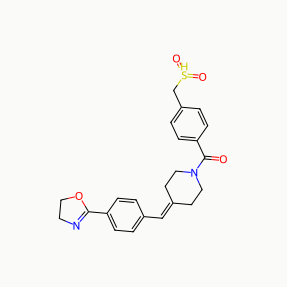 O=C(c1ccc(C[SH](=O)=O)cc1)N1CCC(=Cc2ccc(C3=NCCO3)cc2)CC1